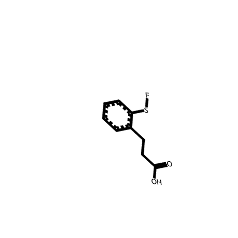 O=C(O)CCc1ccccc1SF